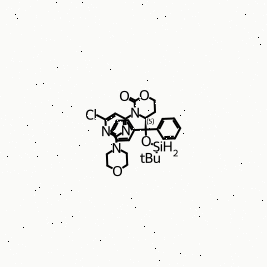 CC(C)(C)[SiH2]OC(c1ccccc1)(c1ccccc1)[C@@H]1CCOC(=O)N1c1cc(Cl)nc(N2CCOCC2)n1